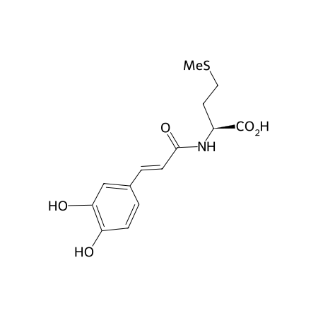 CSCC[C@H](NC(=O)/C=C/c1ccc(O)c(O)c1)C(=O)O